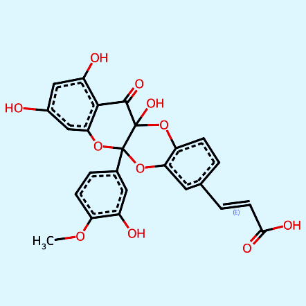 COc1ccc(C23Oc4cc(/C=C/C(=O)O)ccc4OC2(O)C(=O)c2c(O)cc(O)cc2O3)cc1O